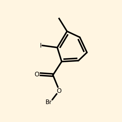 Cc1cccc(C(=O)OBr)c1I